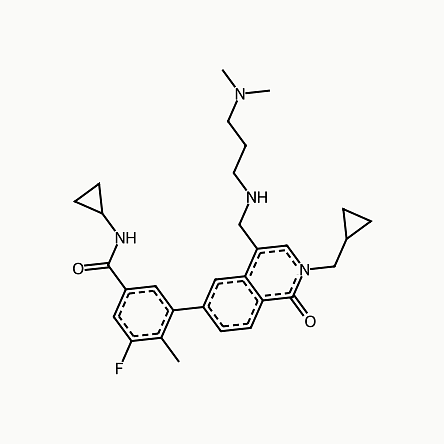 Cc1c(F)cc(C(=O)NC2CC2)cc1-c1ccc2c(=O)n(CC3CC3)cc(CNCCCN(C)C)c2c1